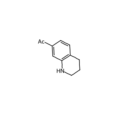 CC(=O)c1ccc2c(c1)NCCC2